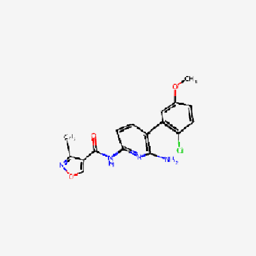 COc1ccc(Cl)c(-c2ccc(NC(=O)c3conc3C)nc2N)c1